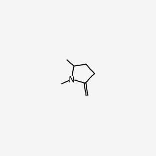 C=C1CCC(C)N1C